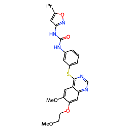 COCCOc1cc2ncnc(Sc3cccc(NC(=O)Nc4cc(C(C)C)on4)c3)c2cc1OC